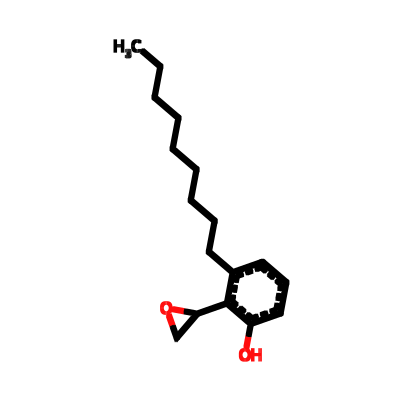 CCCCCCCCCc1cccc(O)c1C1CO1